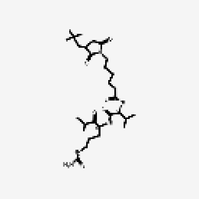 CC(C)C(=O)[C@H](CCCNC(N)=O)NC(=O)[C@@H](NC(=O)CCCCCN1C(=O)CC(CC(C)(C)C)C1=O)C(C)C